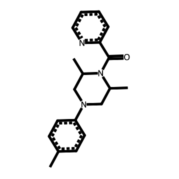 Cc1ccc(N2CC(C)N(C(=O)c3ccccn3)C(C)C2)cc1